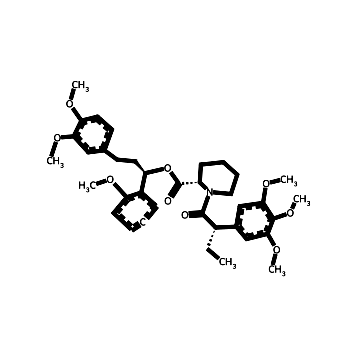 CC[C@H](C(=O)N1CCCC[C@H]1C(=O)O[C@H](CCc1ccc(OC)c(OC)c1)c1ccccc1OC)c1cc(OC)c(OC)c(OC)c1